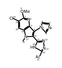 COc1nc2c(-n3ccnc3)c(-c3nnc(C(C)=O)[nH]3)n(C)c2cc1Cl